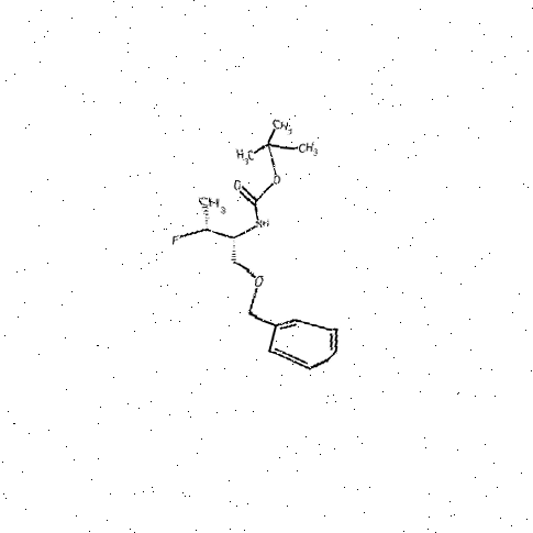 C[C@@H](F)[C@@H](COCc1ccccc1)NC(=O)OC(C)(C)C